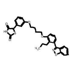 CCCc1c(OCCCCOc2cccc(C3SC(=O)NC3=O)c2)cccc1-c1noc2ccccc12